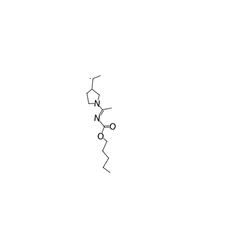 C[CH]C1CCN(/C(C)=N/C(=O)OCCCCC)C1